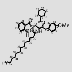 COc1ccc(CC(OCC2CCCCC2)C(CNC(=O)c2ccccc2O)NC(=O)CCCCCCCCCCCC(C)C)cc1